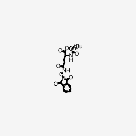 COC(=O)C(CCC(=O)NON1C(=O)c2ccccc2C1=O)NC(=O)OC(C)(C)C